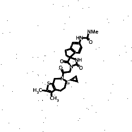 CNC(=O)Nc1ccc2c(c1)CCC21NC(=O)N(CC(=O)N2Cc3sc(C)c(C)c3CC[C@H]2C2CC2)C1=O